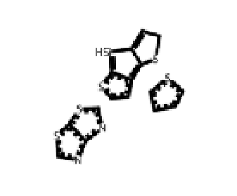 C1=C2[SiH]=c3sccc3=C2SC1.c1ccsc1.c1nc2ncsc2s1